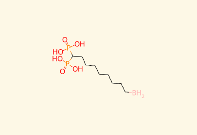 BCCCCCCCCC(P(=O)(O)O)P(=O)(O)O